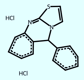 C1=CN2C(=Nc3ccccc3C2c2ccccc2)S1.Cl.Cl